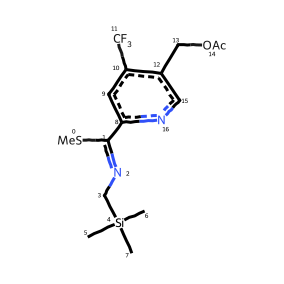 CS/C(=N\C[Si](C)(C)C)c1cc(C(F)(F)F)c(COC(C)=O)cn1